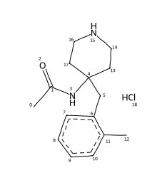 CC(=O)NC1(Cc2ccccc2C)CCNCC1.Cl